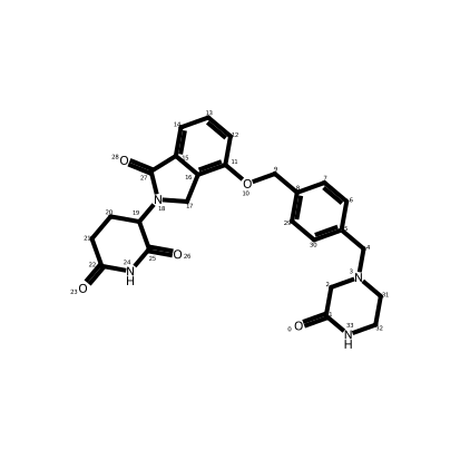 O=C1CN(Cc2ccc(COc3cccc4c3CN(C3CCC(=O)NC3=O)C4=O)cc2)CCN1